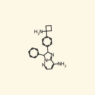 NC1=CC=NN2C1=NC(c1ccc(C3(N)CCC3)cc1)C2c1ccccc1